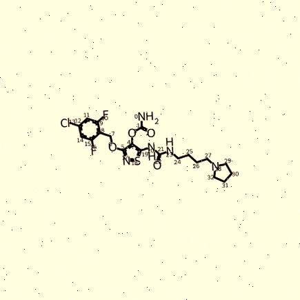 NC(=O)Oc1c(OCc2c(F)cc(Cl)cc2F)nsc1NC(=O)NCCCCN1CCCC1